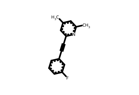 Cc1cc(C)nc(C#Cc2cccc(F)c2)c1